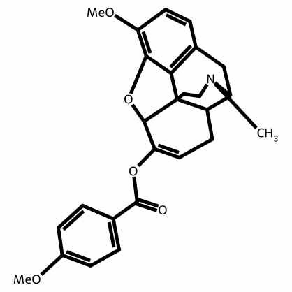 COc1ccc(C(=O)OC2=CCC3C4Cc5ccc(OC)c6c5C3(CCN4C)C2O6)cc1